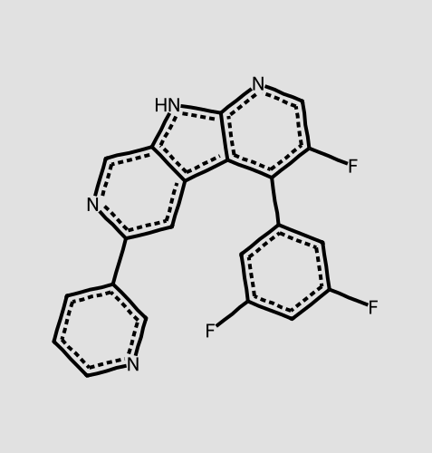 Fc1cc(F)cc(-c2c(F)cnc3[nH]c4cnc(-c5cccnc5)cc4c23)c1